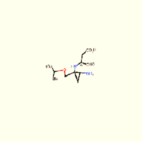 CC(C)(C)C(OCC1(N[C@H](C=O)CC(=O)O)CC1N)C(C)(C)C